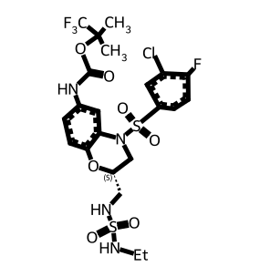 CCNS(=O)(=O)NC[C@H]1CN(S(=O)(=O)c2ccc(F)c(Cl)c2)c2cc(NC(=O)OC(C)(C)C(F)(F)F)ccc2O1